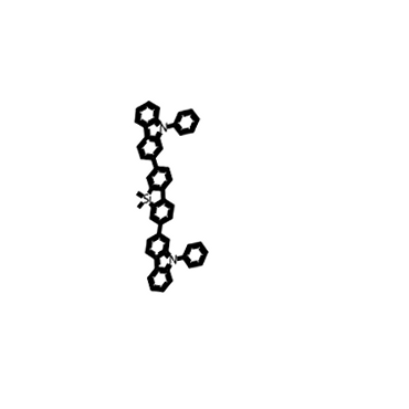 C[Si]1(C)c2cc(-c3ccc4c5ccccc5n(-c5ccccc5)c4c3)ccc2-c2ccc(-c3ccc4c5ccccc5n(-c5ccccc5)c4c3)cc21